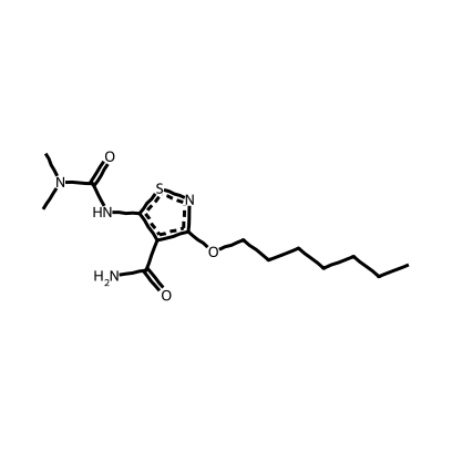 CCCCCCCOc1nsc(NC(=O)N(C)C)c1C(N)=O